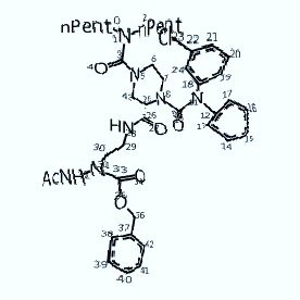 CCCCCN(CCCCC)C(=O)N1CCN(C(=O)N(c2ccccc2)c2cccc(Cl)c2)[C@H](C(=O)NCCN(NC(C)=O)C(=O)OCc2ccccc2)C1